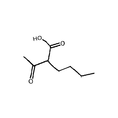 C[CH]CCC(C(C)=O)C(=O)O